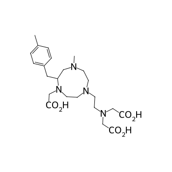 Cc1ccc(CC2CN(C)CCN(CCN(CC(=O)O)CC(=O)O)CCN2CC(=O)O)cc1